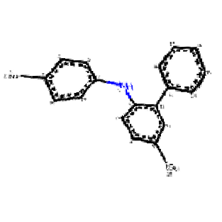 CC(C)(C)c1ccc(Nc2ccc(C(C)(C)C)cc2-c2ccccc2)cc1